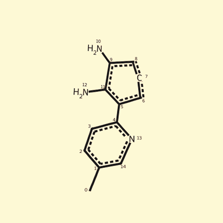 Cc1ccc(-c2cccc(N)c2N)nc1